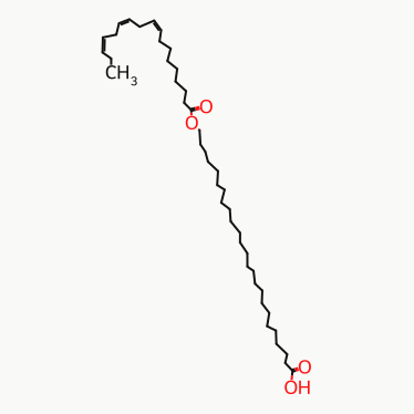 CC/C=C\C/C=C\C/C=C\CCCCCCCC(=O)OCCCCCCCCCCCCCCCCCCCCCCCCC(=O)O